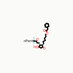 CCCCCC(F)(F)C(=O)CC[C@H]1[C@H](O)CC(=O)[C@@H]1CCCCCCOC(=O)Cc1ccccc1